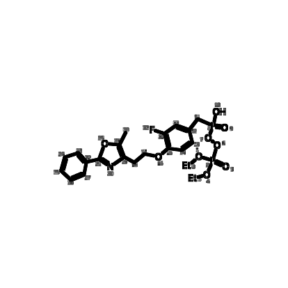 CCOP(=O)(OCC)OOP(=O)(O)Cc1ccc(OCCc2nc(-c3ccccc3)oc2C)c(F)c1